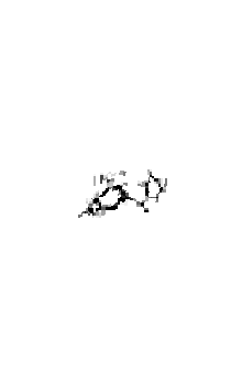 Cc1nc2cc(C(C)N3CCNCC3)ccc2o1.Cl